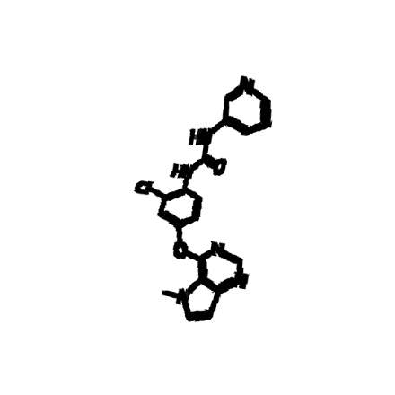 Cn1ccc2ncnc(Oc3ccc(NC(=O)Nc4cccnc4)c(Cl)c3)c21